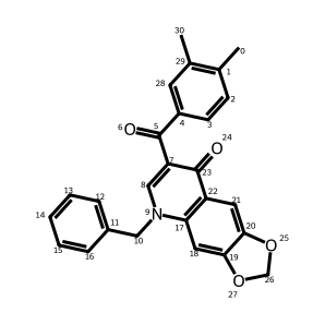 Cc1ccc(C(=O)c2cn(Cc3ccccc3)c3cc4c(cc3c2=O)OCO4)cc1C